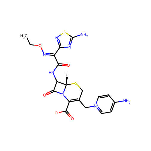 CCON=C(C(=O)NC1C(=O)N2C(C(=O)[O-])=C(C[n+]3ccc(N)cc3)CS[C@@H]12)c1nsc(N)n1